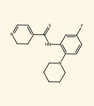 Fc1ccc(N2CCCCC2)c(NC(=S)C2=CC=NCC2)c1